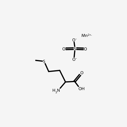 CSCCC(N)C(=O)O.O=S(=O)([O-])[O-].[Mn+2]